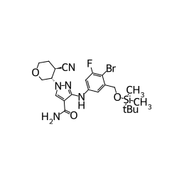 CC(C)(C)[Si](C)(C)OCc1cc(Nc2nn([C@@H]3COCC[C@H]3C#N)cc2C(N)=O)cc(F)c1Br